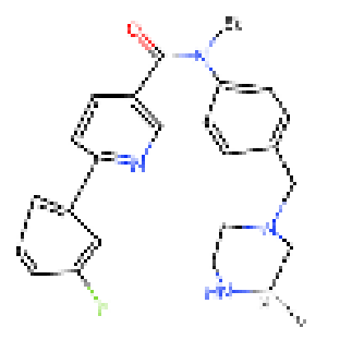 CCN(C(=O)c1ccc(-c2cccc(F)c2)nc1)c1ccc(CN2CCN[C@@H](C)C2)cc1